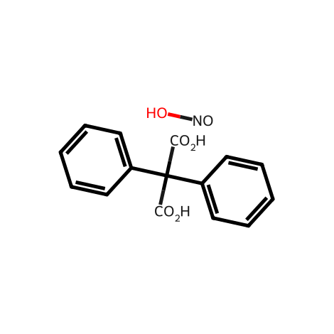 O=C(O)C(C(=O)O)(c1ccccc1)c1ccccc1.O=NO